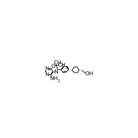 CC1(C)Oc2ncnc(N)c2N=C1c1ccc([C@H]2CC[C@@H](CCO)CC2)cc1